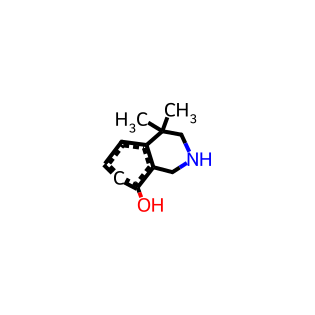 CC1(C)CNCc2c(O)cccc21